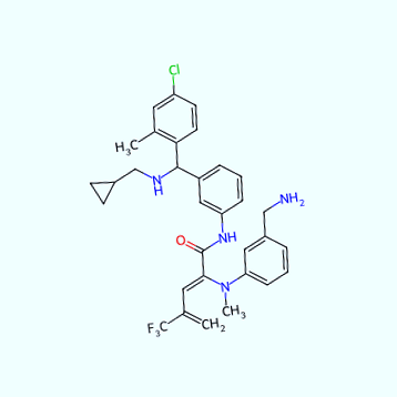 C=C(/C=C(/C(=O)Nc1cccc(C(NCC2CC2)c2ccc(Cl)cc2C)c1)N(C)c1cccc(CN)c1)C(F)(F)F